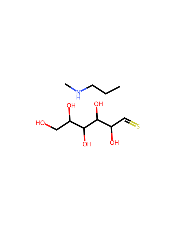 CCCNC.OCC(O)C(O)C(O)C(O)C=S